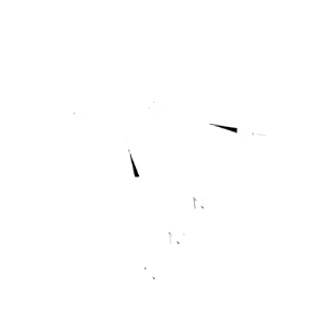 [N-]=[N+]=NC1[C@@H]2OCC(C[C@H]1O)O2